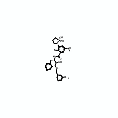 CCNc1cc(C(=O)N[C@@H](Cc2ccccc2)[C@@H](O)CNCc2cccc(C(F)(F)F)c2)c(F)c(N2CCCS2(O)O)c1